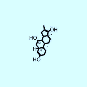 CC1=C(O)[C@@]2(C)CCC3C(C2C1)[C@@H](O)C[C@H]1C=C(O)CC[C@]31C